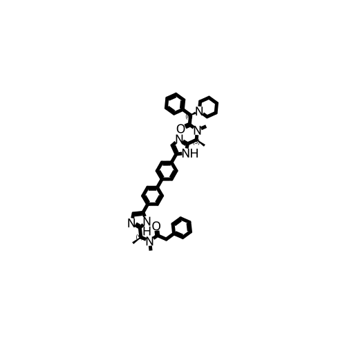 C[C@@H](c1ncc(-c2ccc(-c3ccc(-c4cnc([C@H](C)N(C)C(=O)[C@@H](c5ccccc5)N5CCCCC5)[nH]4)cc3)cc2)[nH]1)N(C)C(=O)Cc1ccccc1